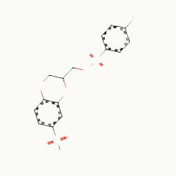 CS(=O)(=O)c1ccc2c(c1)OC(COS(=O)(=O)c1ccc(Br)cc1)CO2